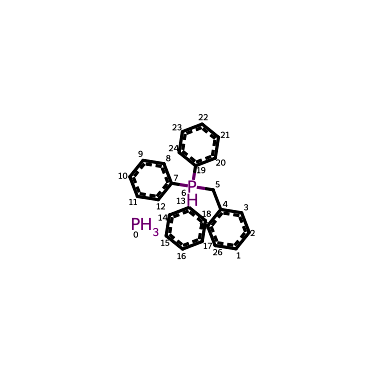 P.c1ccc(C[PH](c2ccccc2)(c2ccccc2)c2ccccc2)cc1